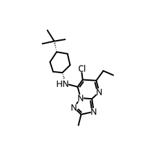 CCc1nc2nc(C)nn2c(N[C@H]2CC[C@@H](C(C)(C)C)CC2)c1Cl